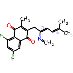 C=N/C(=C\C=C(/C)C(F)(F)F)CC1=C(C)C(=O)c2c(F)cc(F)cc2C1=O